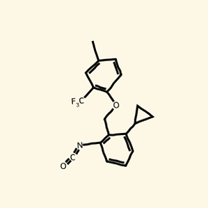 Cc1ccc(OCc2c(N=C=O)cccc2C2CC2)c(C(F)(F)F)c1